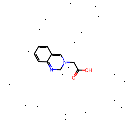 O=C(O)CN1C=c2ccccc2=NC1